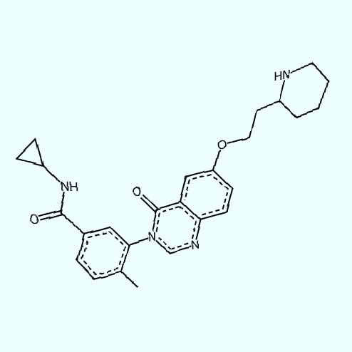 Cc1ccc(C(=O)NC2CC2)cc1-n1cnc2ccc(OCCC3CCCCN3)cc2c1=O